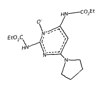 CCOC(=O)Nc1cc(N2CCCC2)nc(NC(=O)OCC)[n+]1[O-]